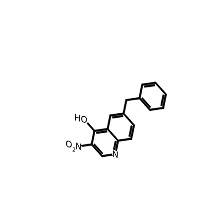 O=[N+]([O-])c1cnc2ccc(Cc3ccccc3)cc2c1O